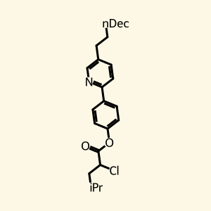 CCCCCCCCCCCCc1ccc(-c2ccc(OC(=O)C(Cl)CC(C)C)cc2)nc1